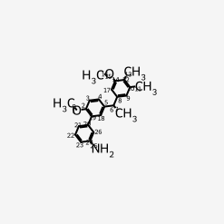 COc1ccc(C(C)c2cc(C)c(C)c(OC)c2)cc1-c1cccc(N)c1